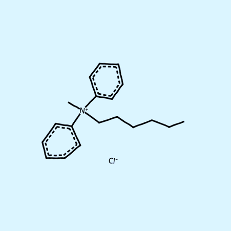 CCCCCC[N+](C)(c1ccccc1)c1ccccc1.[Cl-]